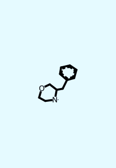 c1ccc(CC2COCC[N]2)cc1